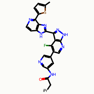 Cc1ccc(-c2nccc3[nH]c(-c4n[nH]c5ncc(-c6cncc(NC(=O)CC(C)C)c6)c(F)c45)nc23)s1